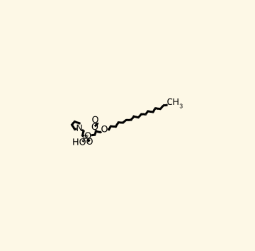 CCCCCCCCCCCCCCCCCCOCC(COP(=O)(O)CCN1CCCC1)OC=O